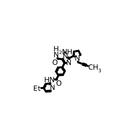 CC#CCN1CCCC1c1nc(-c2ccc(C(=O)Nc3cc(CC)ccn3)cc2)c(C(N)=O)n1N